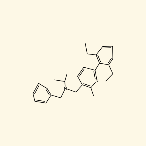 CCc1cccc(CC)c1-c1ccc(CN(Cc2ccccc2)C(C)C)c(C)n1